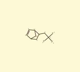 FC(F)(F)CC1CC2C=CC1C2